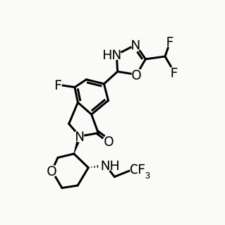 O=C1c2cc(C3NN=C(C(F)F)O3)cc(F)c2CN1[C@@H]1COCC[C@H]1NCC(F)(F)F